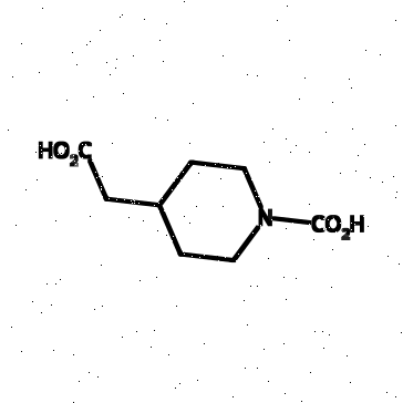 O=C(O)CC1CCN(C(=O)O)CC1